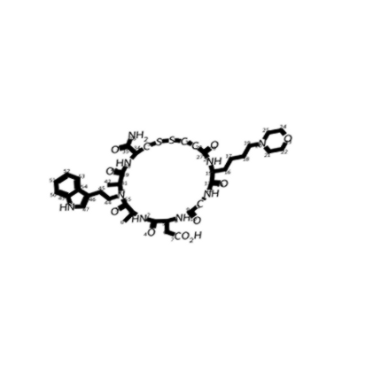 CC1NC(=O)C(CC(=O)O)NC(=O)CNC(=O)C(CCCCN2CCOCC2)NC(=O)CCSSCC(C(N)=O)NC(=O)C(C)N(CCc2c[nH]c3ccccc23)C1=O